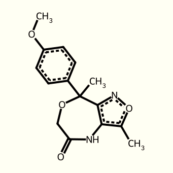 COc1ccc(C2(C)OCC(=O)Nc3c2noc3C)cc1